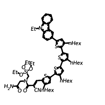 CCCCCCc1cc(-c2sc(-c3sc(-c4sc(-c5ccc6c(c5)c5ccccc5n6CC)cc4CCCCCC)cc3CCCCCC)cc2CCCCCC)sc1/C=C(\C#N)C(=O)N(CC(N)=O)C[Si](OCC)(OCC)OCC